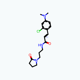 CN(C)c1ccc(/C=C/C(=O)NCCCN2CCCC2=O)c(Cl)c1